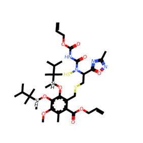 C=CCOC(=O)NC(=O)N(S)C(CSCc1c(O[SiH](C)C(C)(C)C(C)C)c(O[SiH](C)C(C)(C)C(C)C)c(OC)c(C)c1C(=O)OCC=C)c1nc(C)no1